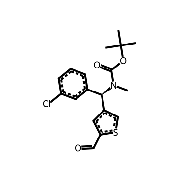 CN(C(=O)OC(C)(C)C)[C@H](c1cccc(Cl)c1)c1csc(C=O)c1